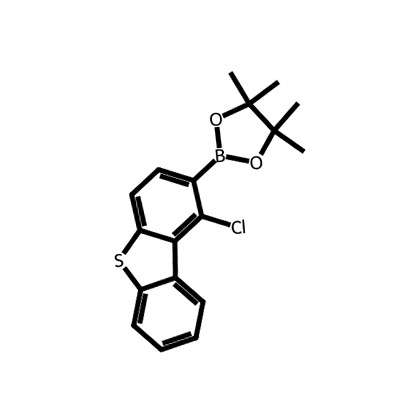 CC1(C)OB(c2ccc3sc4ccccc4c3c2Cl)OC1(C)C